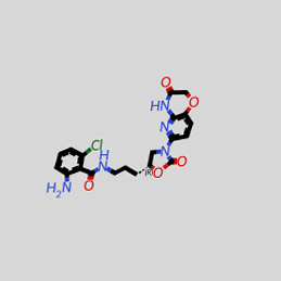 Nc1cccc(Cl)c1C(=O)NCCC[C@@H]1CN(c2ccc3c(n2)NC(=O)CO3)C(=O)O1